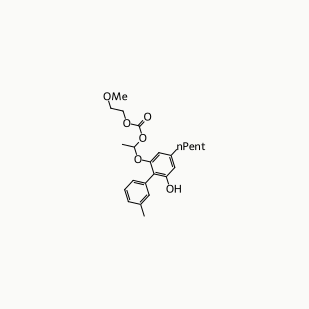 CCCCCc1cc(O)c(-c2cccc(C)c2)c(OC(C)OC(=O)OCCOC)c1